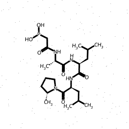 CC(C)C[C@H](NC(=O)[C@H](C)NC(=O)CP(O)O)C(=O)N[C@@H](CC(C)C)C(=O)N1CCC[C@H]1C